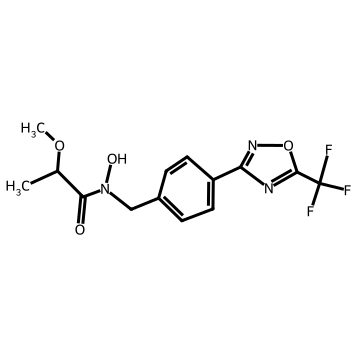 COC(C)C(=O)N(O)Cc1ccc(-c2noc(C(F)(F)F)n2)cc1